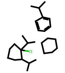 C1CCCCC1.CC(C)C1CCCCC1(Cl)C(C)C.CC(C)c1ccccc1